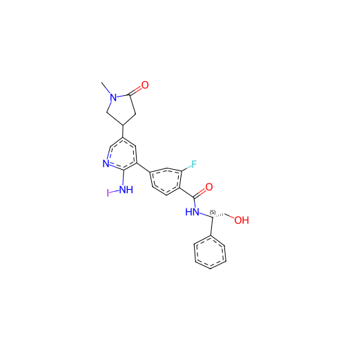 CN1CC(c2cnc(NI)c(-c3ccc(C(=O)N[C@H](CO)c4ccccc4)c(F)c3)c2)CC1=O